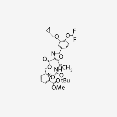 COC(=O)c1cccc(COC(=O)c2nc(-c3ccc(OC(F)F)c(OCC4CC4)c3)oc2[C@H](C)NC(=O)OC(C)(C)C)n1